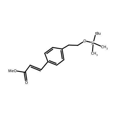 COC(=O)C=Cc1ccc(CCO[Si](C)(C)C(C)(C)C)cc1